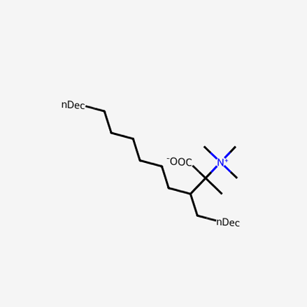 CCCCCCCCCCCCCCCCC(CCCCCCCCCCC)C(C)(C(=O)[O-])[N+](C)(C)C